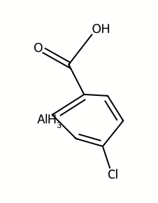 O=C(O)c1ccc(Cl)cc1.[AlH3]